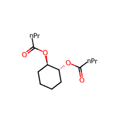 CCCC(=O)O[C@@H]1CCCC[C@H]1OC(=O)CCC